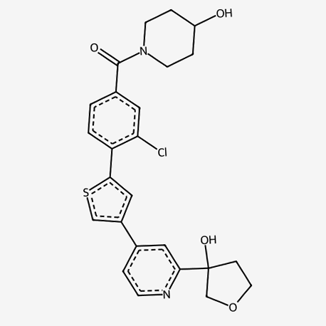 O=C(c1ccc(-c2cc(-c3ccnc(C4(O)CCOC4)c3)cs2)c(Cl)c1)N1CCC(O)CC1